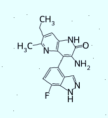 CCc1cc2[nH]c(=O)c(N)c(-c3ccc(F)c4[nH]ncc34)c2nc1C